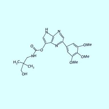 COc1cc(-c2cnc3[nH]cc(OC(=O)NCC(C)(C)CO)c3n2)cc(OC)c1OC